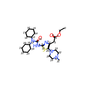 CCOC(=O)Cc1nc(NC(=O)N(C2CCCCC2)C2CCCCC2)sc1N1CCN(C)CC1